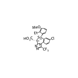 CCc1c(OC)cccc1[C@@H]1S[C@@H](CC(=O)O)c2nnc(C(F)(F)F)n2-c2ccc(Cl)cc21